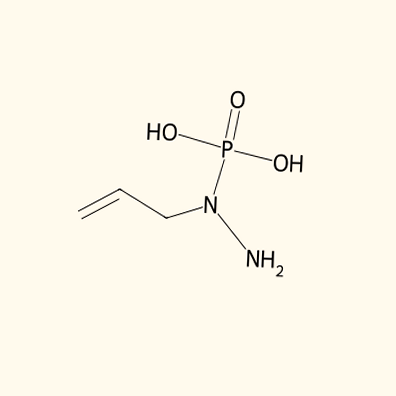 C=CCN(N)P(=O)(O)O